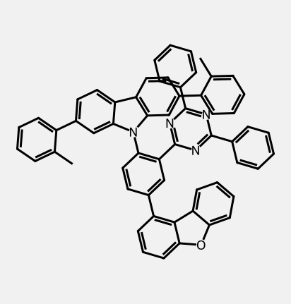 Cc1ccccc1-c1ccc2c3ccc(-c4ccccc4C)cc3n(-c3ccc(-c4cccc5oc6ccccc6c45)cc3-c3nc(-c4ccccc4)nc(-c4ccccc4)n3)c2c1